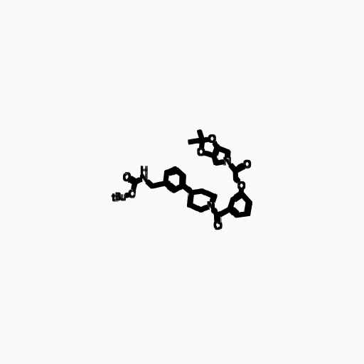 CC(C)(C)OC(=O)NCc1cccc(C2CCN(C(=O)c3cccc(OCC(=O)N4CC5OC(C)(C)OC5C4)c3)CC2)c1